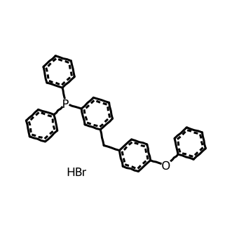 Br.c1ccc(Oc2ccc(Cc3cccc(P(c4ccccc4)c4ccccc4)c3)cc2)cc1